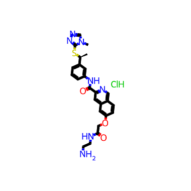 C[C@H](Sc1nncn1C)c1cccc(NC(=O)c2cc3cc(OCC(=O)NCCN)ccc3cn2)c1.Cl